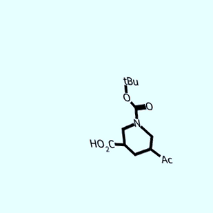 CC(=O)C1CC(C(=O)O)CN(C(=O)OC(C)(C)C)C1